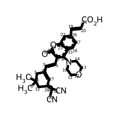 CC1(C)CC(C=Cc2c(N3CCOCC3)c3ccc(C=CC(=O)O)cc3oc2=O)=CC(=C(C#N)C#N)C1